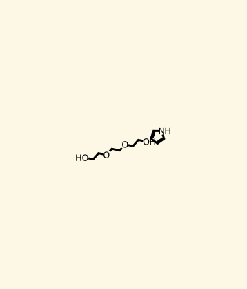 OCCOCCOCCO.c1cc[nH]c1